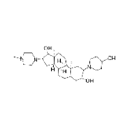 CN1CCN(C2C[C@H]3[C@@H]4CCC5CC(O)C(N6CCC(O)CC6)C[C@]5(C)[C@@H]4CC[C@]3(C)C2O)CC1